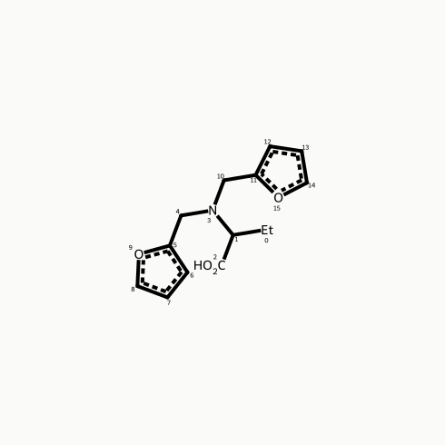 CCC(C(=O)O)N(Cc1ccco1)Cc1ccco1